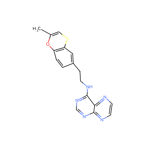 CC1=CSc2cc(CCNc3ncnc4nccnc34)ccc2O1